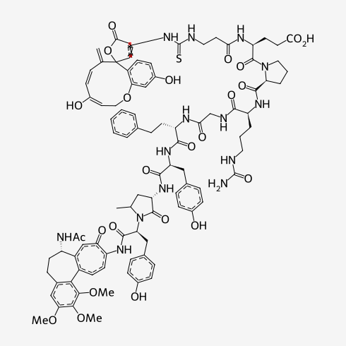 C=C1/C=C\C(O)=C/COc2cc(O)ccc2C12OC(=O)c1cc(NC(=S)NCCC(=O)N[C@@H](CCC(=O)O)C(=O)N3CCC[C@H]3C(=O)N[C@@H](CCCNC(N)=O)C(=O)NCC(=O)N[C@@H](CCc3ccccc3)C(=O)N[C@@H](Cc3ccc(O)cc3)C(=O)N[C@H]3CC(C)N([C@@H](Cc4ccc(O)cc4)C(=O)Nc4ccc5c(cc4=O)[C@@H](NC(C)=O)CCc4cc(OC)c(OC)c(OC)c4-5)C3=O)ccc12